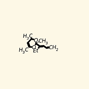 C=C/C=C(\CC)[C@@]1(C)OC(C)=CC(C)O1